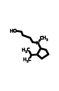 CC(C)C1CCCC1N(C)CCCCO